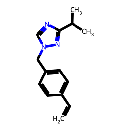 C=Cc1ccc(Cn2cnc(C(C)C)n2)cc1